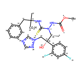 C[C@@H](N(NC(=O)OC(C)(C)C)C(=S)NC(C)(Cc1ccccc1)C(=O)O)[C@](O)(Cn1cncn1)c1ccc(F)cc1F